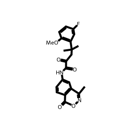 COc1ccc(F)cc1C(C)(C)CC(=O)C(=O)Nc1ccc2c(=O)onc(C)c2c1